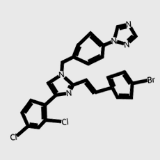 Clc1ccc(-c2cn(Cc3ccc(-n4cncn4)cc3)c(C=Cc3ccc(Br)cc3)n2)c(Cl)c1